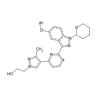 Cc1nn(CCO)cc1-c1ccnc(-c2nn(C3CCCCO3)c3ccc(OC(C)C)cc23)n1